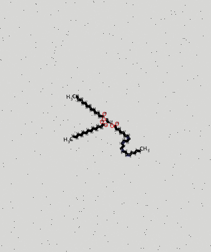 CCCCC/C=C\C/C=C\C/C=C\C/C=C\CCCCCC(=O)OC[C@@H](COC(=O)CCCCCCCCCCCCC)OC(=O)CCCCCCCCCCCCC